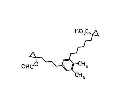 Cc1cc(CCCCC2(OC=O)CC2)cc(CCCCCCC2(C(=O)O)CC2)c1C